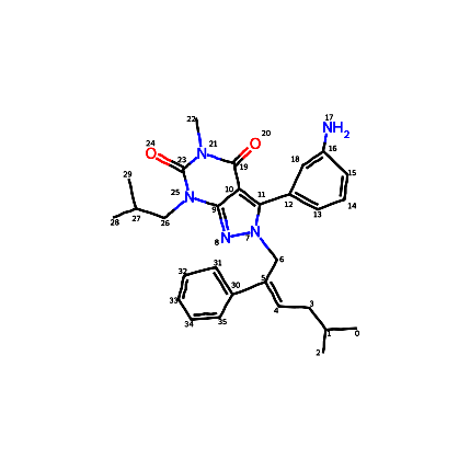 CC(C)C/C=C(\Cn1nc2c(c1-c1cccc(N)c1)c(=O)n(C)c(=O)n2CC(C)C)c1ccccc1